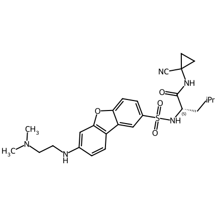 CC(C)C[C@H](NS(=O)(=O)c1ccc2oc3cc(NCCN(C)C)ccc3c2c1)C(=O)NC1(C#N)CC1